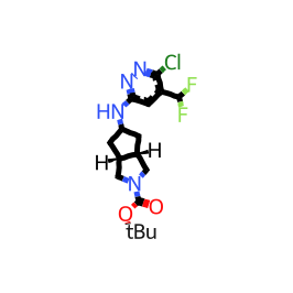 CC(C)(C)OC(=O)N1C[C@H]2CC(Nc3cc(C(F)F)c(Cl)nn3)C[C@H]2C1